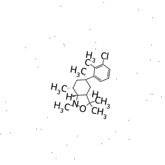 Cc1c(Cl)cccc1[C@]1(C)C[C@@H](C)[C@@H]2[C@@H](C1)C(C)(C)ON2C